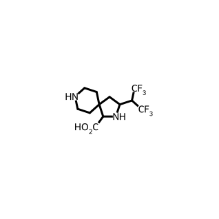 O=C(O)C1NC(C(C(F)(F)F)C(F)(F)F)CC12CCNCC2